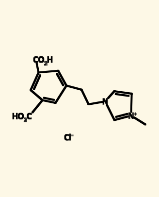 C[n+]1ccn(CCc2cc(C(=O)O)cc(C(=O)O)c2)c1.[Cl-]